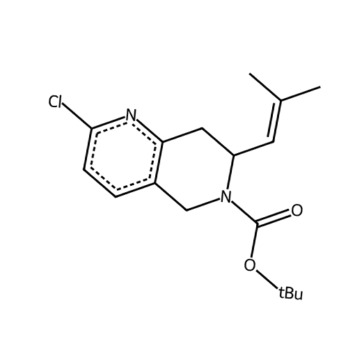 CC(C)=CC1Cc2nc(Cl)ccc2CN1C(=O)OC(C)(C)C